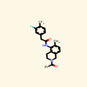 Cc1ccc2c(c1NC(=O)Cc1ccc(C(F)(F)F)c(F)c1)CCN(C(=O)C(C)C)C2